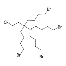 ClCCC(CCCCBr)(CCCCBr)[C](CCCCBr)CCCCBr